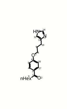 CCCCCCC(=O)c1ccc(OCCCc2c[nH]cn2)cc1